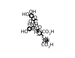 Cc1oc2cc(O)c(O)cc2c(=O)c1C(=O)NC(C(=O)N[C@@H]1C(=O)N2C(C(=O)O)=C(CSc3nnnn3CC(=O)O)CS[C@@H]12)c1ccc(O)cc1